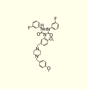 COc1ccc(CN2CCN(Cc3ccc(OC)c(N(C(=O)Nc4cccc(F)c4)C(=O)Nc4cccc(F)c4)c3)CC2)cc1